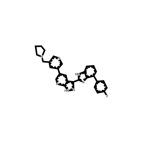 Fc1ccc(-c2cccc3[nH]c(-c4n[nH]c5ncc(-c6cncc(CN7CCCC7)c6)cc45)nc23)cc1